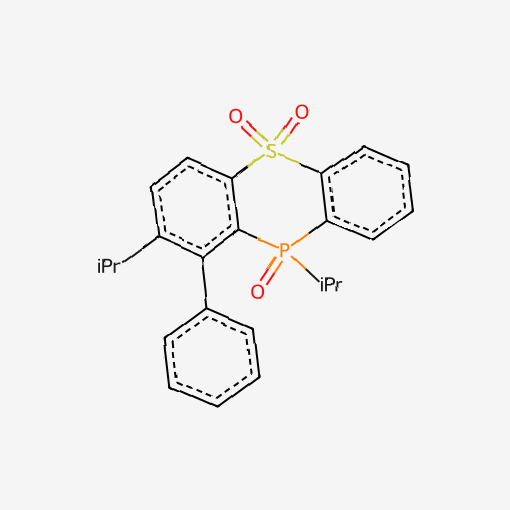 CC(C)c1ccc2c(c1-c1ccccc1)P(=O)(C(C)C)c1ccccc1S2(=O)=O